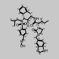 CC[C@H](C)[C@@H](C(=O)N[C@@H](Cc1ccccc1)[C@H](O)CN(CC(C)C)S(=O)(=O)c1ccc(/C=N/O)cc1)N1CCN(Cc2ccc3[nH]cnc3c2)C1=O